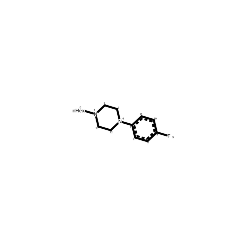 [CH2]CCCCCN1CCN(c2ccc(F)cc2)CC1